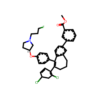 COC(=O)c1cccc(-c2ccc3c(c2)CCCC(C2=C(Cl)CC(Cl)C=C2)=C3c2ccc(O[C@H]3CCN(CCCF)C3)cc2)c1